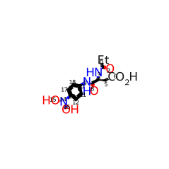 CCC(=O)N[C@@H](CC(=O)O)C(=O)Nc1ccc(N(O)O)cc1